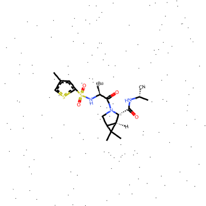 Cc1csc(S(=O)(=O)N[C@H](C(=O)N2CC3[C@@H]([C@H]2C(=O)N[C@@H](C)C#N)C3(C)C)C(C)(C)C)c1